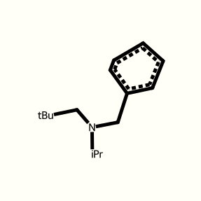 [CH2]C(C)(C)CN(Cc1ccccc1)C(C)C